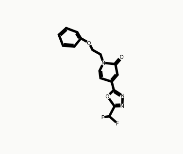 O=c1cc(-c2nnc(C(F)F)o2)ccn1CCOc1ccccc1